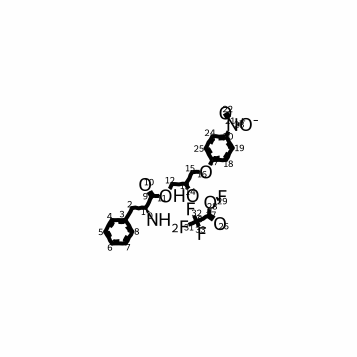 N[C@@H](Cc1ccccc1)C(=O)OCC(O)COc1ccc([N+](=O)[O-])cc1.O=C(OF)C(F)(F)F